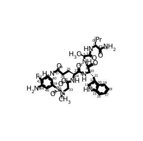 CC(C)[C@H](NC(=O)[C@H](C)NC(=O)[C@H](Cc1c[nH]c2ccccc12)NC(=O)[C@H](CCC(N)=O)NC(=O)CN(C)S(=O)(=O)c1ccc(F)c(N)c1)C(N)=O